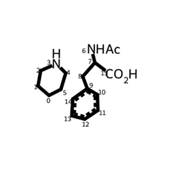 C1CCNCC1.CC(=O)NC(Cc1ccccc1)C(=O)O